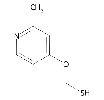 Cc1cc(OCS)ccn1